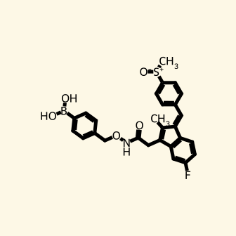 CC1=C(CC(=O)NOCc2ccc(B(O)O)cc2)c2cc(F)ccc2/C1=C/c1ccc([S+](C)[O-])cc1